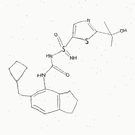 CC(C)(O)c1ncc(S(=N)(=O)NC(=O)Nc2c(CC3CCC3)ccc3c2CCC3)s1